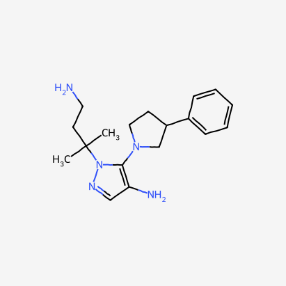 CC(C)(CCN)n1ncc(N)c1N1CCC(c2ccccc2)C1